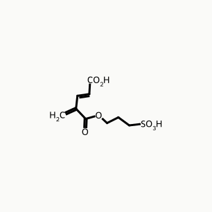 C=C(C=CC(=O)O)C(=O)OCCCS(=O)(=O)O